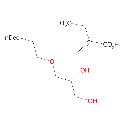 C=C(CC(=O)O)C(=O)O.CCCCCCCCCCCCOCC(O)CO